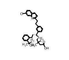 CC(C)(CS[C@H](CCc1ccccc1C(C)(C)O)c1cccc(CCc2ccc3ccc(Cl)cc3n2)c1)CC(=O)O